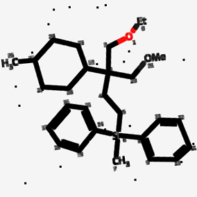 CCOCC(CC[Si](C)(c1ccccc1)c1ccccc1)(COC)C1CCC(C)CC1